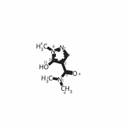 CN(C)C(=O)c1cnn(C)c1O